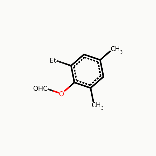 CCc1cc(C)cc(C)c1OC=O